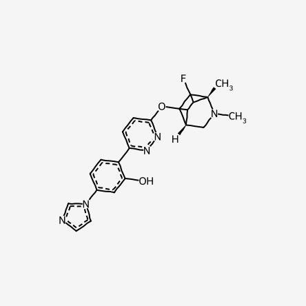 CN1C[C@@H]2CC[C@@]1(C)C(F)C2Oc1ccc(-c2ccc(-n3ccnc3)cc2O)nn1